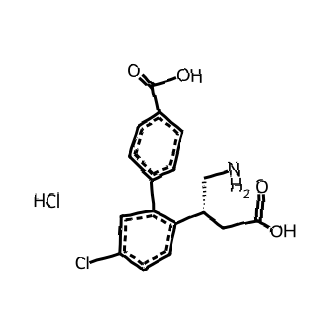 Cl.NC[C@H](CC(=O)O)c1ccc(Cl)cc1-c1ccc(C(=O)O)cc1